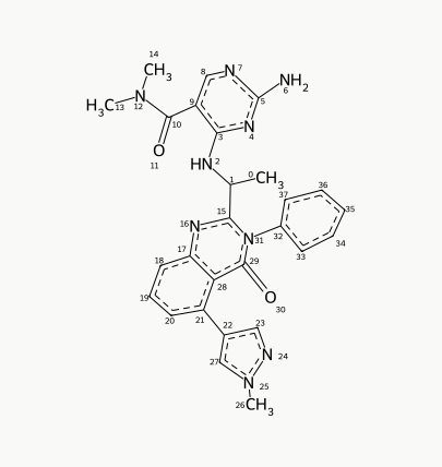 CC(Nc1nc(N)ncc1C(=O)N(C)C)c1nc2cccc(-c3cnn(C)c3)c2c(=O)n1-c1ccccc1